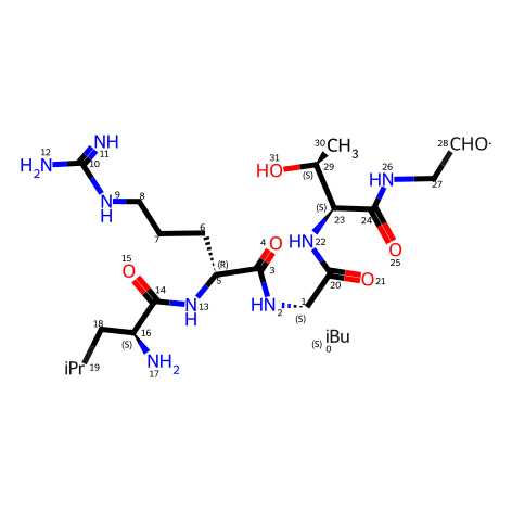 CC[C@H](C)[C@H](NC(=O)[C@@H](CCCNC(=N)N)NC(=O)[C@@H](N)CC(C)C)C(=O)N[C@H](C(=O)NC[C]=O)[C@H](C)O